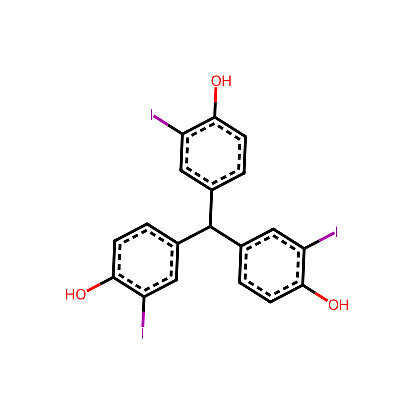 Oc1ccc(C(c2ccc(O)c(I)c2)c2ccc(O)c(I)c2)cc1I